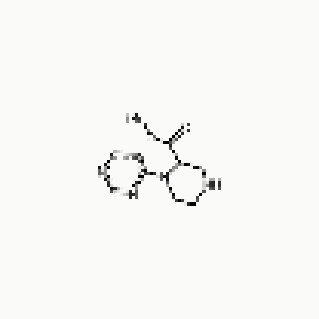 CC(C)(C)OC(=O)C1CNCCN1c1ccn[c]n1